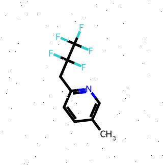 Cc1ccc(CC(F)(F)C(F)(F)F)nc1